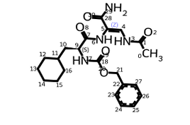 CC(=O)N/C=C(\NC(=O)[C@H](CC1CCCCC1)NC(=O)OCc1ccccc1)C(N)=O